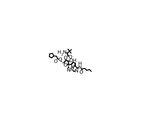 CCCCC(=O)Nc1ncnn2c([C@]3(C#N)O[C@H](COC(=O)CC4CCCC4)[C@@H](OC(=O)[C@@H](N)C(C)(C)C)[C@H]3O)ccc12